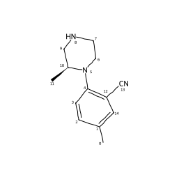 Cc1ccc(N2CCNC[C@@H]2C)c(C#N)c1